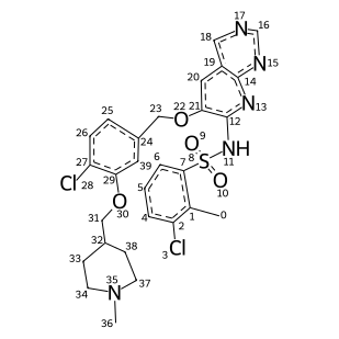 Cc1c(Cl)cccc1S(=O)(=O)Nc1nc2ncncc2cc1OCc1ccc(Cl)c(OCC2CCN(C)CC2)c1